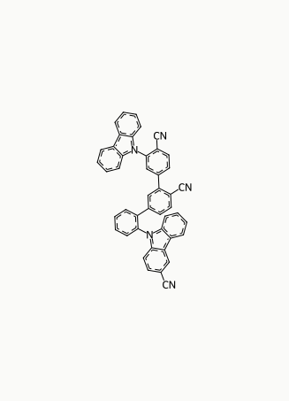 N#Cc1ccc2c(c1)c1ccccc1n2-c1ccccc1-c1ccc(C#N)c(-c2ccc(C#N)c(-n3c4ccccc4c4ccccc43)c2)c1